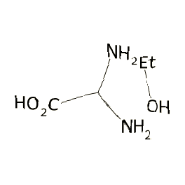 CCO.NC(N)C(=O)O